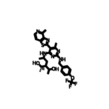 Cc1nc(NCc2ccc(OC(F)(F)F)cc2)nc(NC(C)CC(C(C)O)[C@H](C)O)c1-c1nc2c(C)nccc2s1